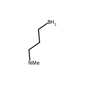 BCCCNC